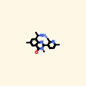 Cc1cc(C(C)N)c2nc(-c3ccc(C)nc3C)n(C)c(=O)c2c1